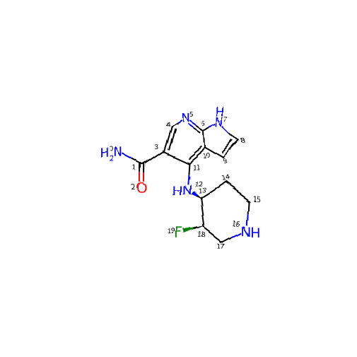 NC(=O)c1cnc2[nH]ccc2c1N[C@H]1CCNC[C@H]1F